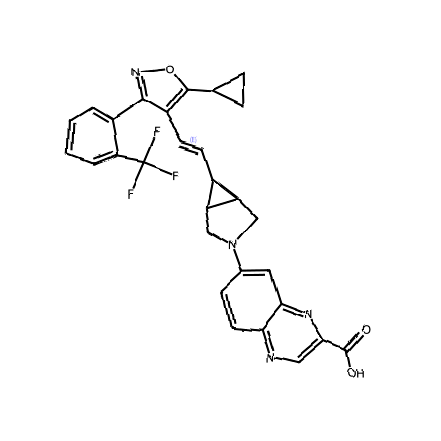 O=C(O)c1cnc2ccc(N3CC4C(/C=C/c5c(-c6ccccc6C(F)(F)F)noc5C5CC5)C4C3)cc2n1